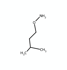 CC(C)CCON